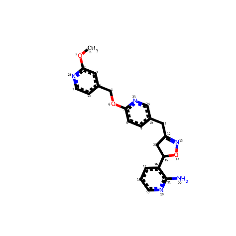 COc1cc(COc2ccc(CC3=NOC(c4cccnc4N)C3)cn2)ccn1